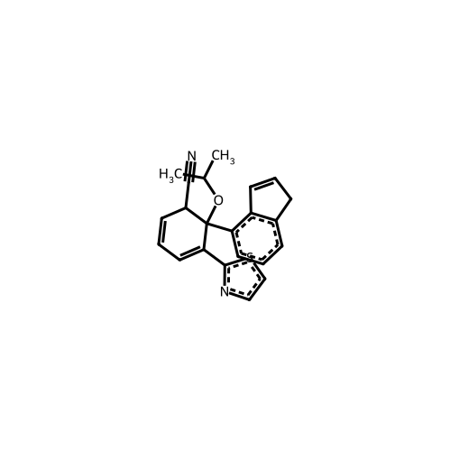 CC(C)OC1(c2cccc3c2C=CC3)C(c2nccs2)=CC=CC1C#N